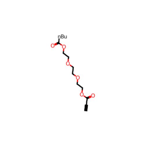 C#CC(=O)OCCOCCOCCOC(=O)CCCC